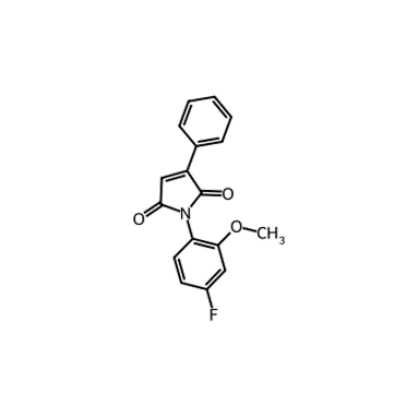 COc1cc(F)ccc1N1C(=O)C=C(c2ccccc2)C1=O